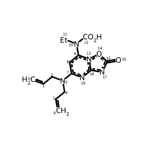 C=CCN(CC=C)c1cc(N(CC)C(=O)O)n2oc(=O)nc2n1